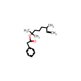 C=CC(C)CCCC(C)(C)OC(=O)Cc1ccccc1